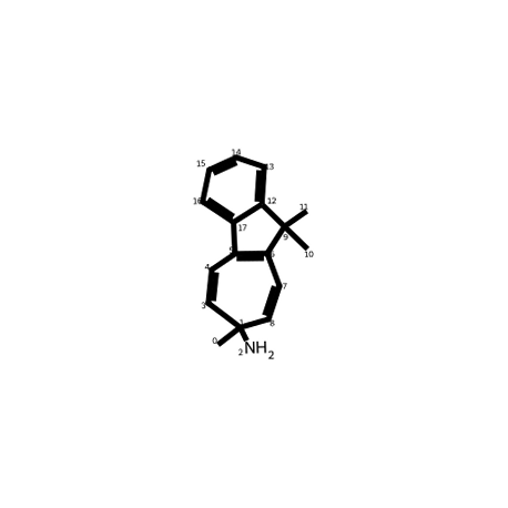 CC1(N)C=CC2=C(C=C1)C(C)(C)c1ccccc12